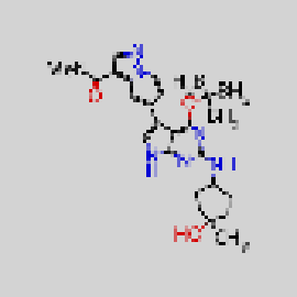 BC(B)(B)Oc1nc(NC2CCC(C)(O)CC2)nc2[nH]cc(-c3ccn4ncc(C(=O)NC)c4c3)c12